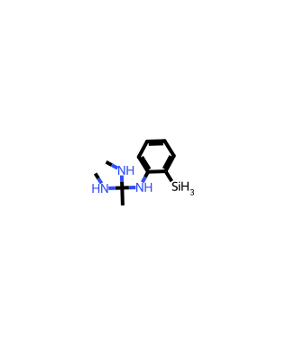 CNC(C)(NC)Nc1ccccc1[SiH3]